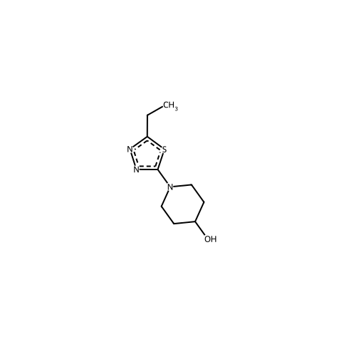 CCc1nnc(N2CCC(O)CC2)s1